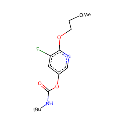 COCCOc1ncc(OC(=O)NC(C)(C)C)cc1F